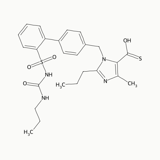 CCCNC(=O)NS(=O)(=O)c1ccccc1-c1ccc(Cn2c(CCC)nc(C)c2C(O)=S)cc1